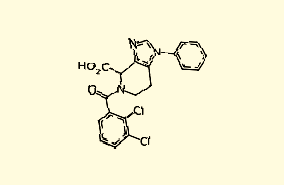 O=C(O)C1c2ncn(-c3ccccc3)c2CCN1C(=O)c1cccc(Cl)c1Cl